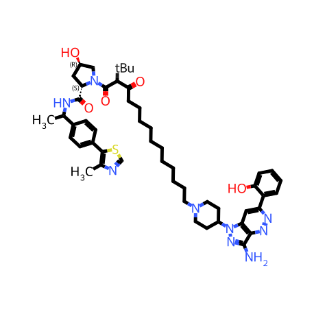 Cc1ncsc1-c1ccc(C(C)NC(=O)[C@@H]2C[C@@H](O)CN2C(=O)C(C(=O)CCCCCCCCCCCN2CCC(n3nc(N)c4nnc(-c5ccccc5O)cc43)CC2)C(C)(C)C)cc1